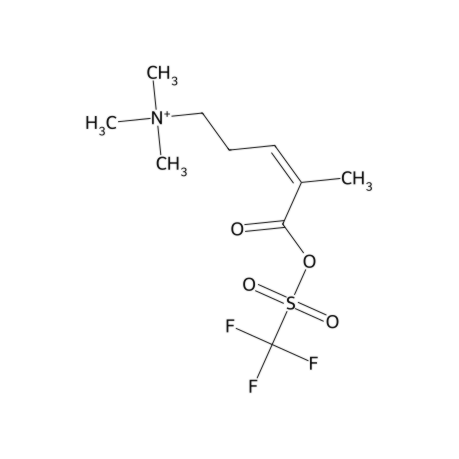 CC(=CCC[N+](C)(C)C)C(=O)OS(=O)(=O)C(F)(F)F